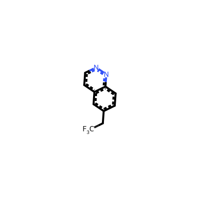 FC(F)(F)Cc1ccc2nnccc2c1